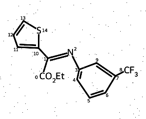 CCOC(=O)/C(=N\c1cccc(C(F)(F)F)c1)c1cccs1